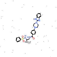 O=C(NC[C@H](NS(=O)(=O)c1ccccc1)C(=O)O)c1ccc(N2CCN(c3nc4ccccc4[nH]3)CC2)cc1